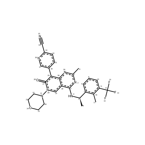 Cc1nc(N[C@H](C)c2cccc(C(F)(F)F)c2C)c2cn(N3CCOCC3)c(=O)c(-c3ccc(C#N)nc3)c2n1